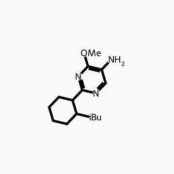 CCC(C)C1CCCCC1c1ncc(N)c(OC)n1